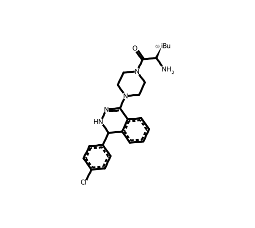 CC[C@H](C)C(N)C(=O)N1CCN(C2=NNC(c3ccc(Cl)cc3)c3ccccc32)CC1